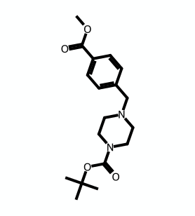 COC(=O)c1ccc(CN2CCN(C(=O)OC(C)(C)C)CC2)cc1